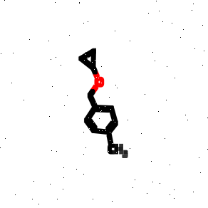 Cc1ccc(COC2CC2)cc1